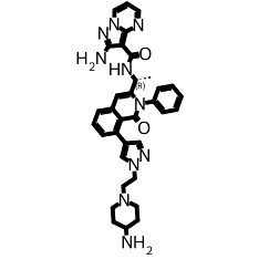 C[C@@H](NC(=O)c1c(N)nn2cccnc12)c1cc2cccc(-c3cnn(CCN4CCC(N)CC4)c3)c2c(=O)n1-c1ccccc1